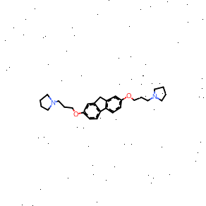 c1cc2c(cc1OCCCN1CCCC1)Cc1cc(OCCCN3CCCC3)ccc1-2